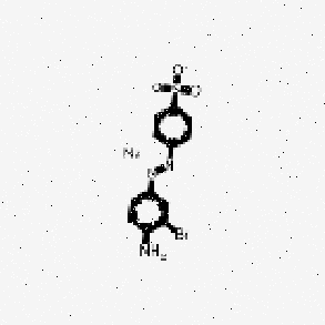 Nc1ccc(N=Nc2ccc(S(=O)(=O)[O-])cc2)cc1Br.[Na+]